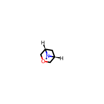 CN1[C@@H]2COC[C@H]1C2